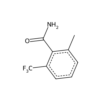 Cc1cccc(C(F)(F)F)c1C(N)=O